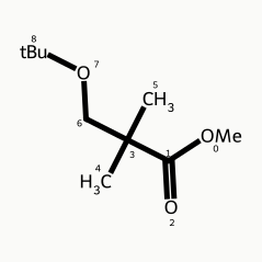 COC(=O)C(C)(C)COC(C)(C)C